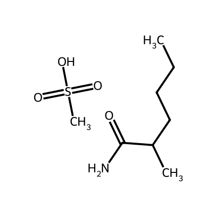 CCCCC(C)C(N)=O.CS(=O)(=O)O